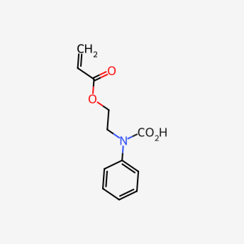 C=CC(=O)OCCN(C(=O)O)c1ccccc1